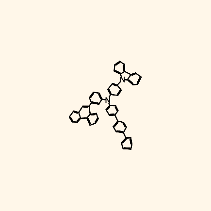 c1ccc(-c2ccc(-c3ccc(N(c4ccc(-n5c6ccccc6c6ccccc65)cc4)c4cccc(-c5cc6ccccc6c6ccccc56)c4)cc3)cc2)cc1